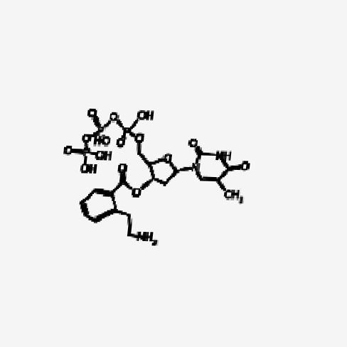 Cc1cn([C@H]2C[C@@H](OC(=O)c3ccccc3CCN)C(COP(=O)(O)OP(=O)(O)OP(=O)(O)O)O2)c(=O)[nH]c1=O